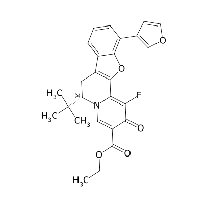 CCOC(=O)c1cn2c(c(F)c1=O)-c1oc3c(-c4ccoc4)cccc3c1C[C@H]2C(C)(C)C